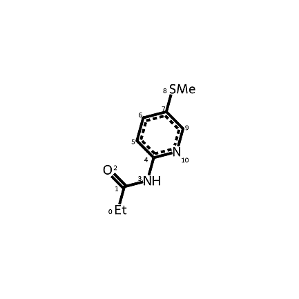 CCC(=O)Nc1ccc(SC)cn1